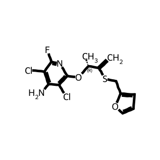 C=C(SCc1ccco1)[C@@H](C)Oc1nc(F)c(Cl)c(N)c1Cl